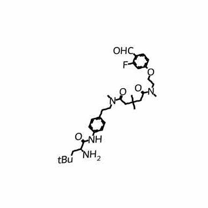 CN(CCOc1ccc(C=O)c(F)c1)C(=O)CC(C)(C)CC(=O)N(C)CCc1ccc(NC(=O)[C@@H](N)CC(C)(C)C)cc1